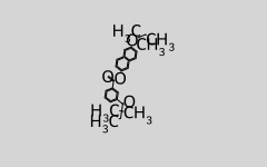 CCC(C)(C)Oc1ccc2cc(OC(=O)c3cccc(C(=O)C(C)(C)CC)c3)ccc2c1